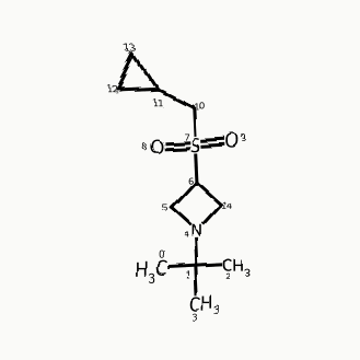 CC(C)(C)N1CC(S(=O)(=O)CC2CC2)C1